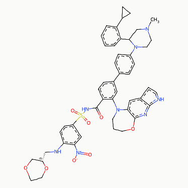 CN1CCN(c2ccc(-c3ccc(C(=O)NS(=O)(=O)c4ccc(NC[C@H]5COCCO5)c([N+](=O)[O-])c4)c(N4CCCOc5nc6[nH]ccc6cc54)c3)cc2)C(c2ccccc2C2CC2)C1